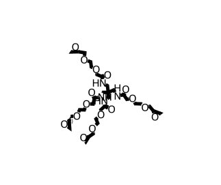 O=C(COCCOCC1CO1)NCC(CNC(=O)COCCOCC1CO1)(CNC(=O)COCCOCC1CO1)CNC(=O)COCCOC[C@@H]1CO1